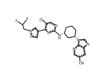 N#Cc1cnc2c(c1)ncn2[C@H]1CCC[C@@H](Nc2ncc(Cl)c(-c3cnn(CC(F)F)c3)n2)C1